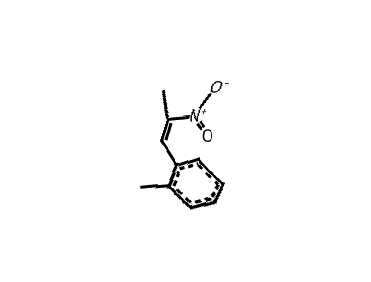 C/C(=C/c1ccccc1C)[N+](=O)[O-]